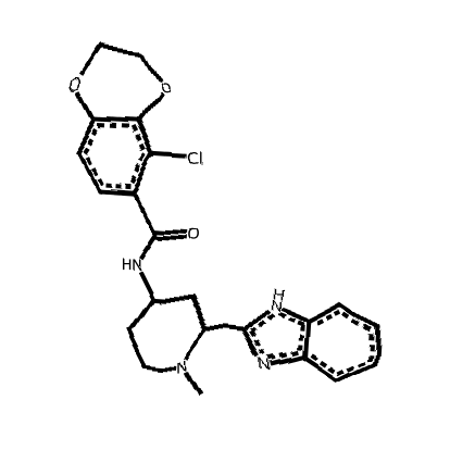 CN1CCC(NC(=O)c2ccc3c(c2Cl)OCCO3)CC1c1nc2ccccc2[nH]1